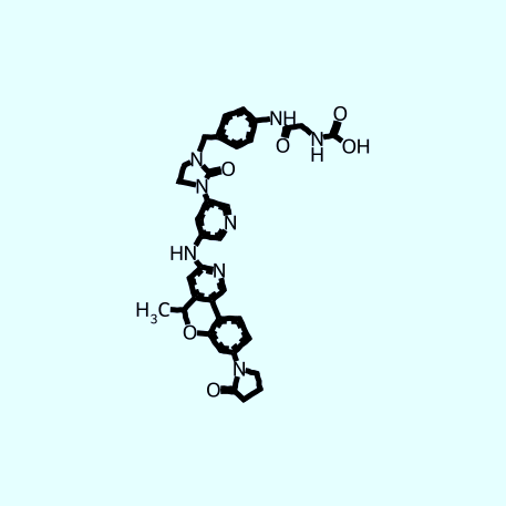 CC1Oc2cc(N3CCCC3=O)ccc2-c2cnc(Nc3cncc(N4CCN(Cc5ccc(NC(=O)CNC(=O)O)cc5)C4=O)c3)cc21